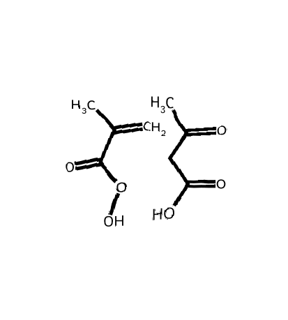 C=C(C)C(=O)OO.CC(=O)CC(=O)O